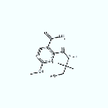 CNc1ncc(C(N)=O)c(N[C@H](C)C(C)(C)CS)n1